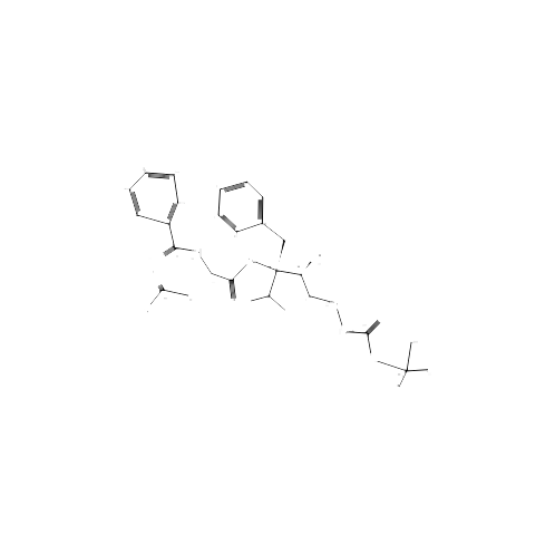 CC(C)[C@](Cc1ccccc1)(NC(=O)[C@H](CC(N)=O)NC(=O)c1ccccc1)[C@@H](O)CNNC(=O)OC(C)(C)C